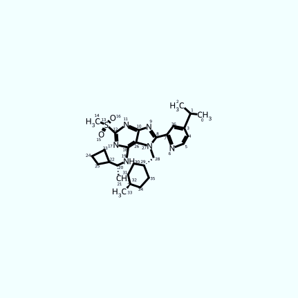 CC(C)c1ccnc(-c2nc3nc(S(C)(=O)=O)nc(N[C@H](C)C4CCC4)c3n2C[C@H]2CC[C@H](C)CC2)c1